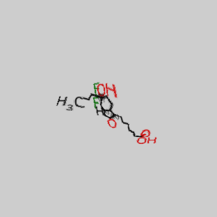 CCCCC(F)(F)[C@@]1(O)CCC2[C@@H](CC(=O)[C@@H]2CCCCCCC(=O)O)C1